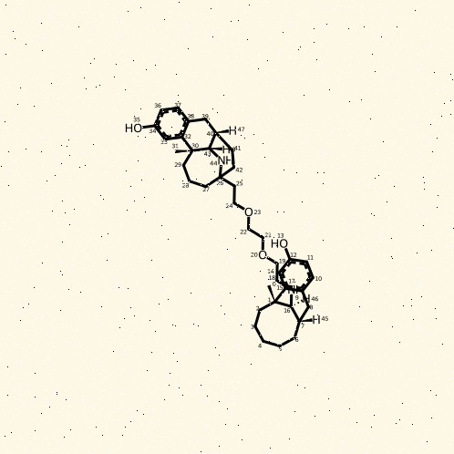 C[C@@]12CCCCC[C@@H](Cc3ccc(O)cc31)[C@@H]2NCCOCCOCCC12CCC[C@]3(C)c4cc(O)ccc4C[C@H](CC1)[C@@H]3N2